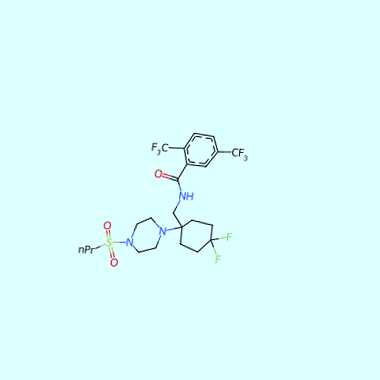 CCCS(=O)(=O)N1CCN(C2(CNC(=O)c3cc(C(F)(F)F)ccc3C(F)(F)F)CCC(F)(F)CC2)CC1